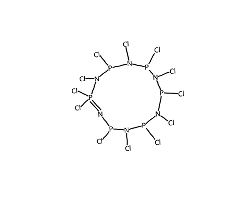 ClN1P(Cl)N=P(Cl)(Cl)N(Cl)P(Cl)N(Cl)P(Cl)N(Cl)P(Cl)N(Cl)P1Cl